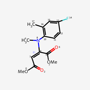 COC(=O)/C=C(\C(=O)OC)N(C)c1ccc(F)cc1C